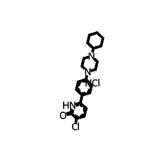 Cl.O=c1[nH]c(-c2ccc(N3CCN(C4CCCCC4)CC3)cc2)ccc1Cl